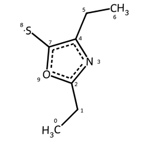 CCc1nc(CC)c([S])o1